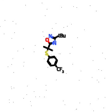 CC(C)(C)c1noc(C(C)(C)Sc2ccc(C(F)(F)F)cc2)n1